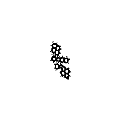 c1ccc2c3c4c(cc2c1)-n1c2cc5ccc6cccc7ccc(c5c67)c2c2cccc(c21)B4c1cccc2c4c5ccc6cccc7ccc(cc4n-3c12)c5c76